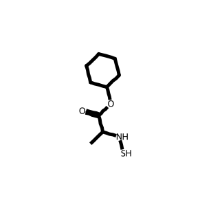 CC(NS)C(=O)OC1CCCCC1